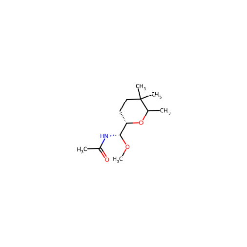 CO[C@H](NC(C)=O)[C@@H]1CCC(C)(C)C(C)O1